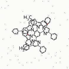 Cc1ccc2c(c1)c1ccccc1n2-c1c(-c2nc(-c3ccccc3)cc(-c3ccccc3)n2)cc(-c2nc(-c3ccccc3)cc(-c3ccccc3)n2)c(-n2c3ccccc3c3cc(C)ccc32)c1-n1c2ccccc2c2cc(-c3ccccc3)ccc21